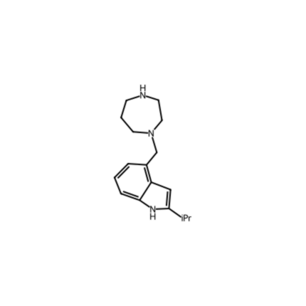 CC(C)c1cc2c(CN3CCCNCC3)cccc2[nH]1